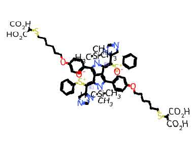 C[Si](C)(C)n1c(-c2ccc(OCCCCCCSC(C(=O)O)C(=O)O)cc2)c2/c(=C(/C3=NC=NC3)[S+]([O-])c3ccccc3)n([Si](C)(C)C)c(-c3ccc(OCCCCCCSC(C(=O)O)C(=O)O)cc3)c2/c1=C(/C1=NC=NC1)[S+]([O-])c1ccccc1